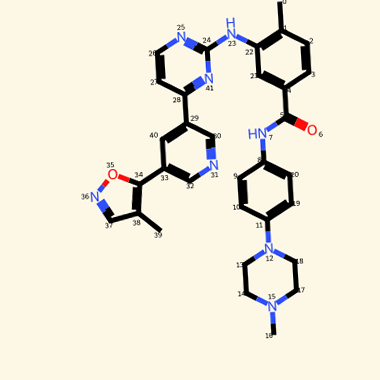 Cc1ccc(C(=O)Nc2ccc(N3CCN(C)CC3)cc2)cc1Nc1nccc(-c2cncc(-c3oncc3C)c2)n1